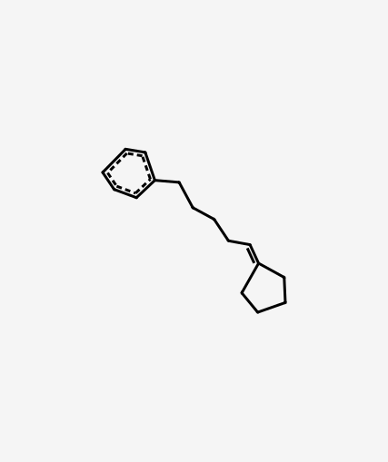 C(CCCCc1ccccc1)=C1CCCC1